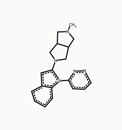 CN1CC2CN(c3cc4ccccc4n3-c3cccnn3)CC2C1